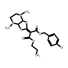 CCCOC(=O)C(C(=O)OCc1ccc(Cl)cc1)=C1SC2C(S1)N(C)CCN2C